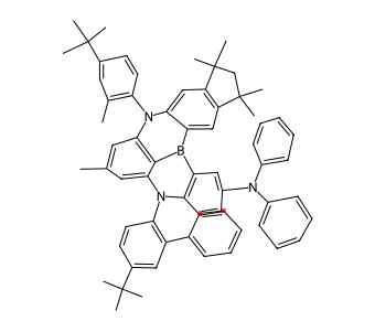 Cc1cc2c3c(c1)N(c1ccc(C(C)(C)C)cc1-c1ccccc1)c1ccc(N(c4ccccc4)c4ccccc4)cc1B3c1cc3c(cc1N2c1ccc(C(C)(C)C)cc1C)C(C)(C)CC3(C)C